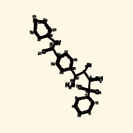 CCC(C(=N)S(=O)(=O)c1ccccc1)C(N)c1ccc(C(=O)Nc2ccncc2)cc1